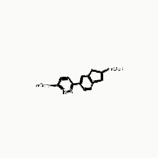 CCCCCCCCc1ccc(-c2ccc3c(c2)CC(CCCCCCCC)C3)nn1